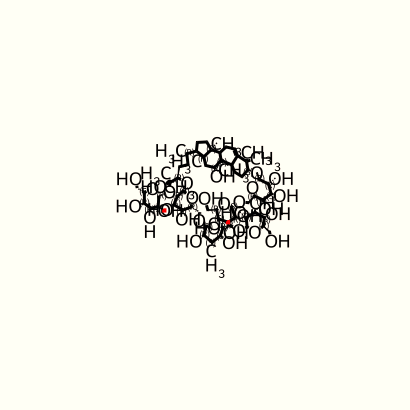 C[C@@H]1[C@@H](O)[C@H](OC[C@H]2O[C@@H](O[C@H](CC[C@@H](C)C3CC[C@@]4(C)C5CC=C6C(CC[C@H](O[C@@H]7O[C@H](CO[C@H]8O[C@H](CO)[C@@H](O)[C@H](O)[C@H]8O)[C@@H](O)[C@H](O)[C@H]7O)C6(C)C)[C@]5(C)[C@H](O)C[C@]34C)C(C)(C)O)[C@H](O[C@H]3O[C@@H](CO)[C@H](O)[C@@H](O)[C@@H]3O)[C@@H](O)[C@@H]2O)O[C@H](COC2O[C@H](CO)[C@@H](O)[C@H](O)[C@H]2O)[C@H]1O